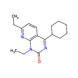 CCc1ccc2c(C3CCCCC3)nc(=O)n(CC)c2n1